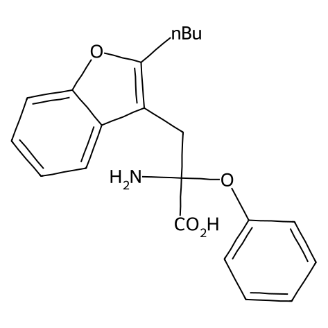 CCCCc1oc2ccccc2c1CC(N)(Oc1ccccc1)C(=O)O